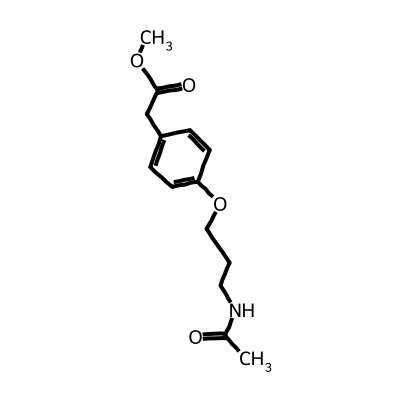 COC(=O)Cc1ccc(OCCCNC(C)=O)cc1